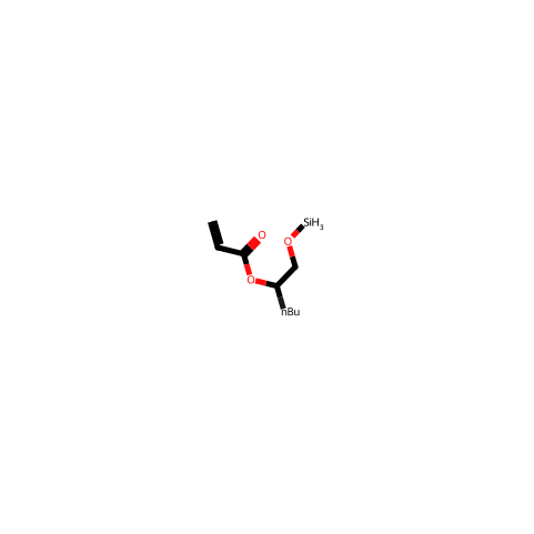 C=CC(=O)OC(CCCC)CO[SiH3]